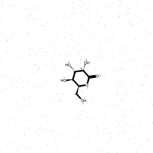 O=C1O[C@@H](CO)[C@@H](O)[C@H](O)[C@@H]1O